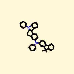 CC1(C)c2ccccc2-c2ccc(N(c3ccccc3)c3ccc4c(c3)CCc3c-4c4ccccc4n3-c3ccccc3)cc21